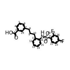 O=C(O)c1cccc(CCCc2ccccc2NS(=O)(=O)c2ccc(F)cc2F)c1